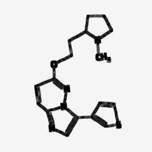 CN1CCCC1CCOc1ccc2ncc(-c3ccsc3)n2n1